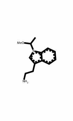 COC(C)n1cc(CCN)c2ccccc21